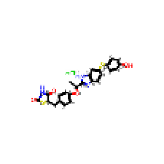 CC(Oc1ccc(CC2SC(=O)NC2=O)cc1)c1nc2ccc(Sc3ccc(O)cc3)cc2[nH]1.Cl